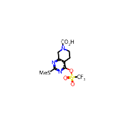 CSc1nc2c(c(OS(=O)(=O)C(F)(F)F)n1)CCN(C(=O)O)C2